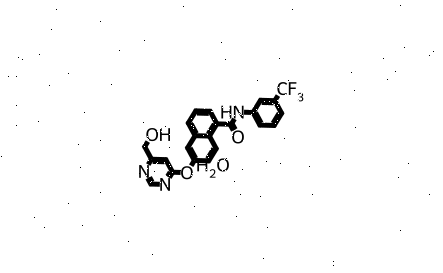 O.O=C(Nc1cccc(C(F)(F)F)c1)c1cccc2cc(Oc3cc(CO)ncn3)ccc12